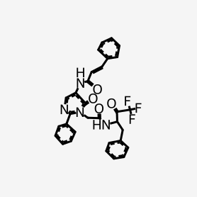 O=C(C=Cc1ccccc1)Nc1cnc(-c2ccccc2)n(CC(=O)NC(Cc2ccccc2)C(=O)C(F)(F)F)c1=O